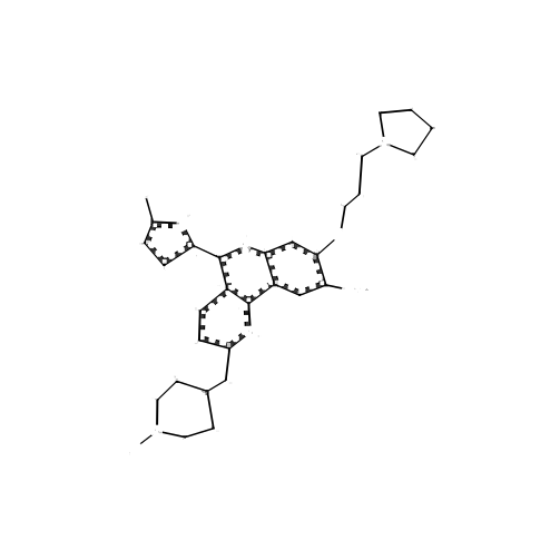 COc1cc2c(cc1OCCCN1CCCC1)nc(-c1ccc(C)o1)c1ccc(CC3CCN(C)CC3)nc12